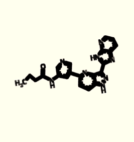 CCCC(=O)Nc1cncc(-c2ccc3[nH]nc(-c4nc5cccnc5[nH]4)c3n2)c1